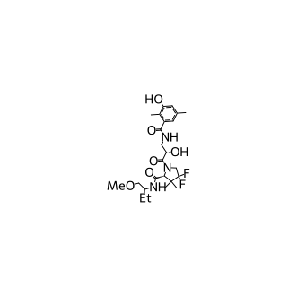 CC[C@@H](COC)NC(=O)[C@H]1N(C(=O)[C@@H](O)CNC(=O)c2cc(C)cc(O)c2C)CC(F)(F)C1(C)C